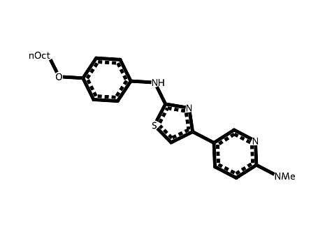 CCCCCCCCOc1ccc(Nc2nc(-c3ccc(NC)nc3)cs2)cc1